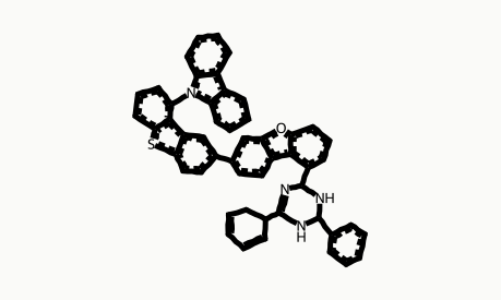 C1=CCC(C2=NC(c3cccc4oc5cc(-c6ccc7sc8cccc(-n9c%10ccccc%10c%10ccccc%109)c8c7c6)ccc5c34)NC(c3ccccc3)N2)C=C1